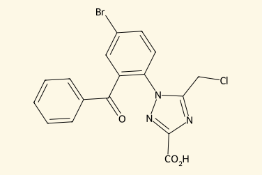 O=C(O)c1nc(CCl)n(-c2ccc(Br)cc2C(=O)c2ccccc2)n1